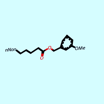 CCCCCCCCCCCCCC(=O)OCc1cccc(OC)c1